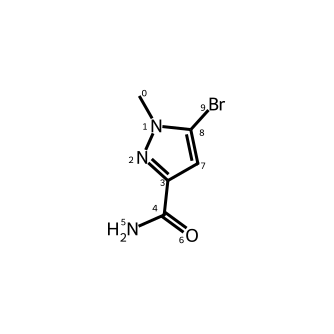 Cn1nc(C(N)=O)cc1Br